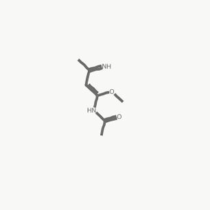 CO/C(=C\C(C)=N)NC(C)=O